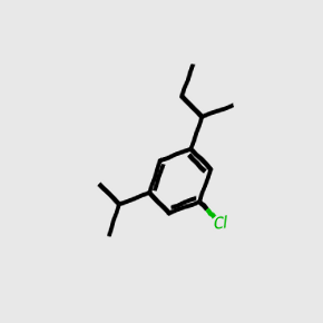 CCC(C)c1cc(Cl)cc(C(C)C)c1